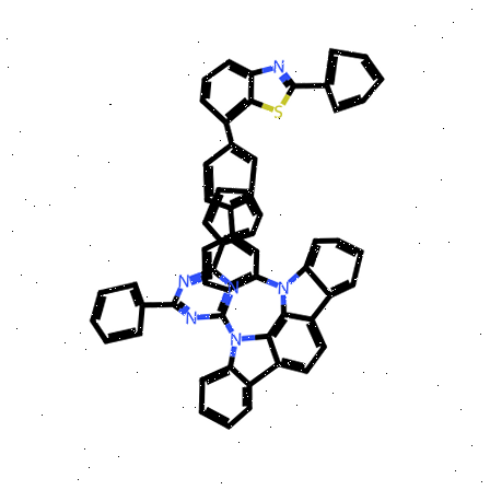 c1ccc(-c2nc(-c3ccccc3)nc(-n3c4ccccc4c4ccc5c6ccccc6n(-c6cccc(-c7ccc(-c8cccc9nc(-c%10ccccc%10)sc89)cc7)c6)c5c43)n2)cc1